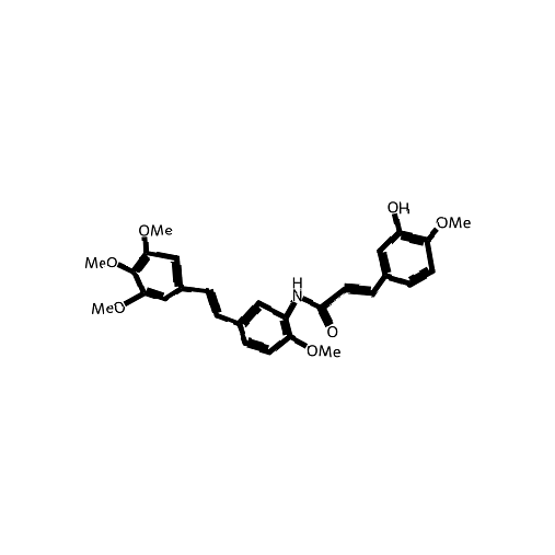 COc1ccc(/C=C/C(=O)Nc2cc(C=Cc3cc(OC)c(OC)c(OC)c3)ccc2OC)cc1O